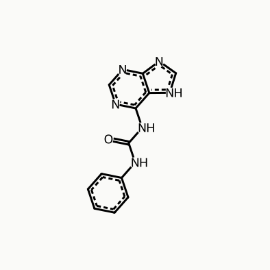 O=C(Nc1ccccc1)Nc1ncnc2nc[nH]c12